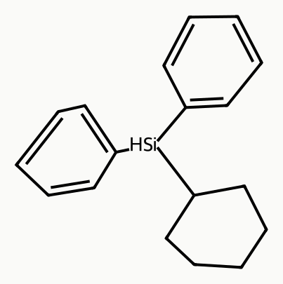 c1ccc([SiH](c2ccccc2)C2CCCCC2)cc1